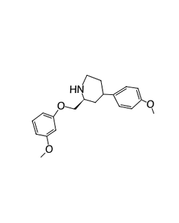 COc1ccc(C2CCN[C@H](COc3cccc(OC)c3)C2)cc1